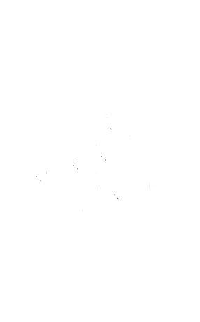 Cc1[nH]c2c(NCc3ccc(F)cc3)nc(C#N)cc2c1C.Cl